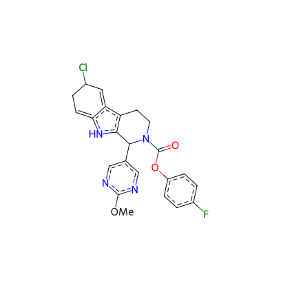 COc1ncc(C2c3[nH]c4c(c3CCN2C(=O)Oc2ccc(F)cc2)=CC(Cl)CC=4)cn1